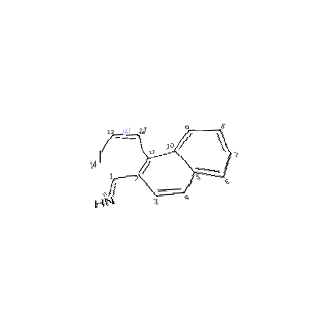 N=Cc1ccc2ccccc2c1/C=C\I